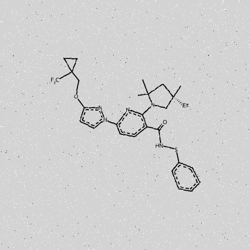 CC[C@]1(C)CN(c2nc(-n3ccc(OCC4(C(F)(F)F)CC4)n3)ccc2C(=O)NSc2ccccc2)C(C)(C)C1